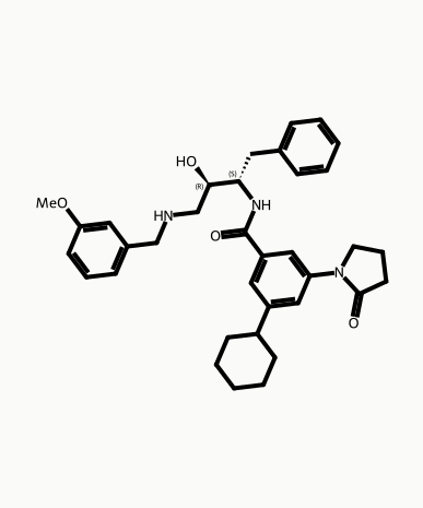 COc1cccc(CNC[C@@H](O)[C@H](Cc2ccccc2)NC(=O)c2cc(C3CCCCC3)cc(N3CCCC3=O)c2)c1